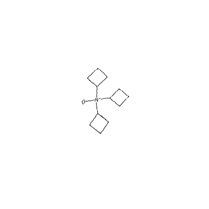 [O-][N+](C1CCC1)(C1CCC1)C1CCC1